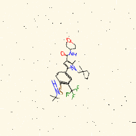 Cc1c(C(=O)NC2CCOCC2)cc(-c2ccc(SNC(C)(C)C)c(C(F)(F)F)c2)n1CC1(C)CCCC1